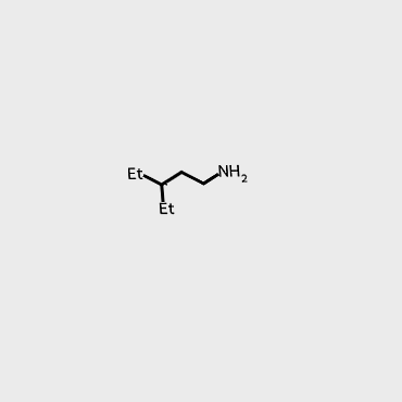 CC[C](CC)CCN